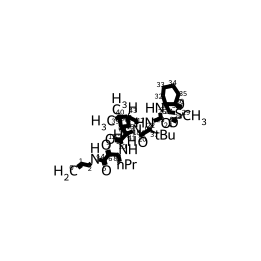 C=CCNC(=O)C(=O)C(CCC)NC(=O)[C@@H]1[C@@H]2C[C@H](CN1C(=O)[C@@H](NC(=O)NC1(CS(C)(=O)=O)CCCCC1)C(C)(C)C)C2(C)C